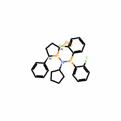 Fc1ccccc1P(c1ccccc1F)N(C1CCCC1)P1[C@@H](c2ccccc2)CC[C@@H]1P